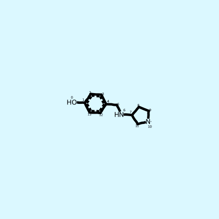 Oc1ccc(CNC2CC[N]C2)cc1